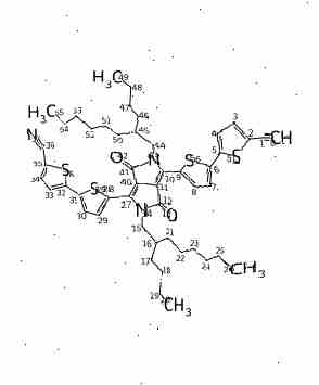 C#Cc1ccc(-c2ccc(C3=C4C(=O)N(CC(CCCC)CCCCCC)C(c5ccc(-c6ccc(C#N)s6)s5)=C4C(=O)N3CC(CCCC)CCCCCC)s2)s1